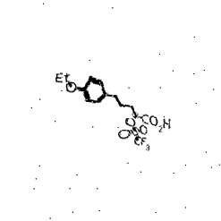 CCOc1ccc(CCC[C@H](OS(=O)(=O)C(F)(F)F)C(=O)O)cc1